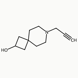 C#CCN1CCC2(CC1)CC(O)C2